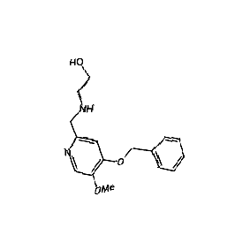 COc1cnc(CNCCO)cc1OCc1ccccc1